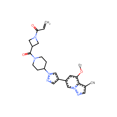 C=CC(=O)N1CC(C(=O)N2CCC(n3cc(-c4cc(OCC)c5c(C#N)cnn5c4)cn3)CC2)C1